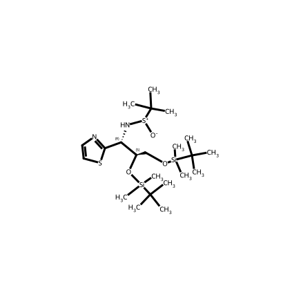 CC(C)(C)[S+]([O-])N[C@@H](c1nccs1)[C@@H](CO[Si](C)(C)C(C)(C)C)O[Si](C)(C)C(C)(C)C